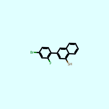 Fc1cc(Br)ccc1-c1[c]c(S)c2ccccc2c1